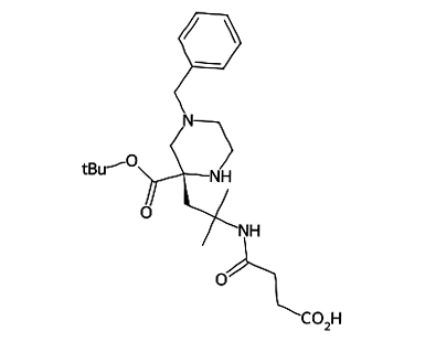 CC(C)(C[C@@]1(C(=O)OC(C)(C)C)CN(Cc2ccccc2)CCN1)NC(=O)CCC(=O)O